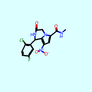 CNC(=O)c1cc([N+](=O)[O-])c2n1CC(=O)NC2c1cc(F)ccc1Cl